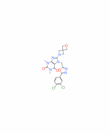 Cn1c(=O)c2c(nc(N3CC4(COC4)C3)n2Cc2nnc(-c3ccc(Cl)c(Cl)c3)o2)n(C)c1=O